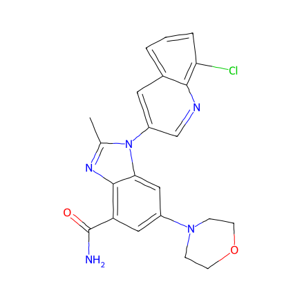 Cc1nc2c(C(N)=O)cc(N3CCOCC3)cc2n1-c1cnc2c(Cl)cccc2c1